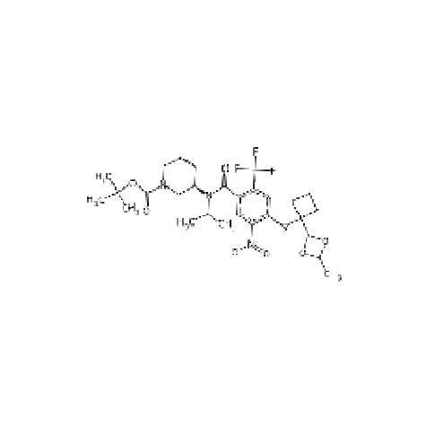 CC1OC(C2(Sc3cc(C(F)(F)F)c(C(=O)N(C(C)C)[C@@H]4CCCN(C(=O)OC(C)(C)C)C4)cc3[N+](=O)[O-])CCC2)O1